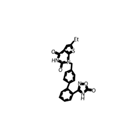 CCc1cc2c(=O)[nH]c(=O)n(Cc3ccc(-c4ccccc4-c4noc(=O)[nH]4)cc3)c2s1